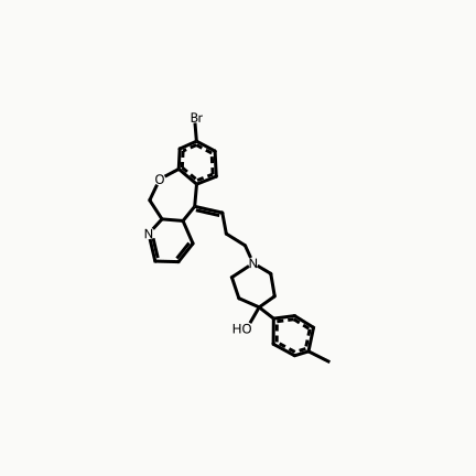 Cc1ccc(C2(O)CCN(CCC=C3c4ccc(Br)cc4OCC4N=CC=CC34)CC2)cc1